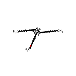 CCCCCCCCCCCCCCCCCCCC[SH](C)CC(C[SH](C)CCCCCCCCCCCCCCCCCCCC)[SH](C)CCCCCCCCCCCCCCCCCCCC